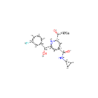 CNC(=O)c1cc(C(=O)NC2CC2)cc(C(O)c2cccc(F)c2)n1